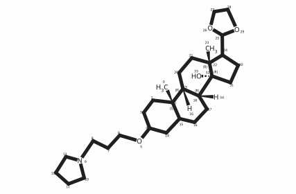 C[C@]12CCC(OCCCN3CCCC3)CC1CC[C@@H]1[C@H]2CC[C@]2(C)C(C3OCCO3)CC[C@@]12O